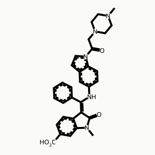 CN1CCN(CC(=O)n2ccc3cc(NC(=C4C(=O)N(C)c5cc(C(=O)O)ccc54)c4ccccc4)ccc32)CC1